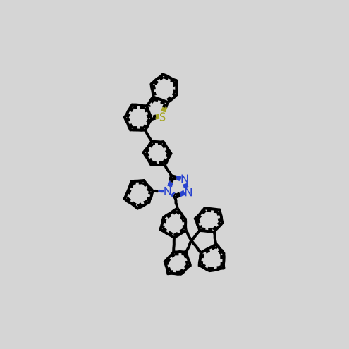 c1ccc(-n2c(-c3ccc(-c4cccc5c4sc4ccccc45)cc3)nnc2-c2ccc3c(c2)C2(c4ccccc4-c4ccccc42)c2ccccc2-3)cc1